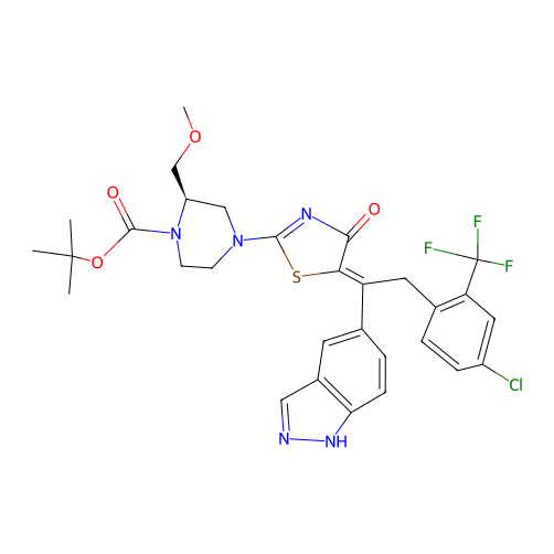 COC[C@H]1CN(C2=NC(=O)C(=C(Cc3ccc(Cl)cc3C(F)(F)F)c3ccc4[nH]ncc4c3)S2)CCN1C(=O)OC(C)(C)C